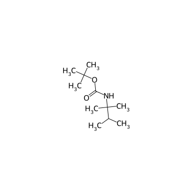 CC(C)C(C)(C)NC(=O)OC(C)(C)C